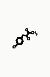 CC(=O)C(Cl)Cc1ccc(Cl)cc1